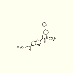 COCCNc1ccc2cc(C(=O)NN(C(=O)O)c3ccc(-c4cccs4)cc3)cnc2c1